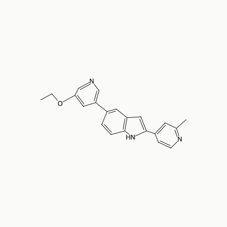 CCOc1cncc(-c2ccc3[nH]c(-c4ccnc(C)c4)cc3c2)c1